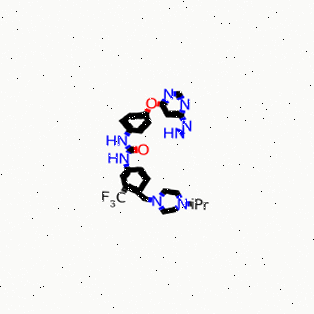 CC(C)N1CCN(Cc2ccc(NC(=O)Nc3ccc(Oc4cc(N=N)ncn4)cc3)cc2C(F)(F)F)CC1